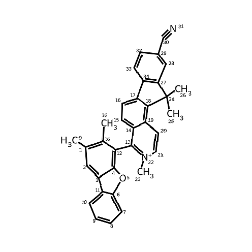 Cc1cc2c(oc3ccccc32)c(-c2c3ccc4c(c3cc[n+]2C)C(C)(C)c2cc(C#N)ccc2-4)c1C